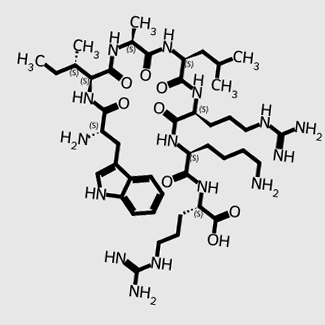 CC[C@H](C)[C@H](NC(=O)[C@@H](N)Cc1c[nH]c2ccccc12)C(=O)N[C@@H](C)C(=O)N[C@@H](CC(C)C)C(=O)N[C@@H](CCCNC(=N)N)C(=O)N[C@@H](CCCCN)C(=O)N[C@@H](CCCNC(=N)N)C(=O)O